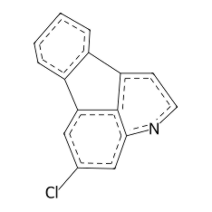 Clc1cc2c3c(ccnc3c1)-c1ccccc1-2